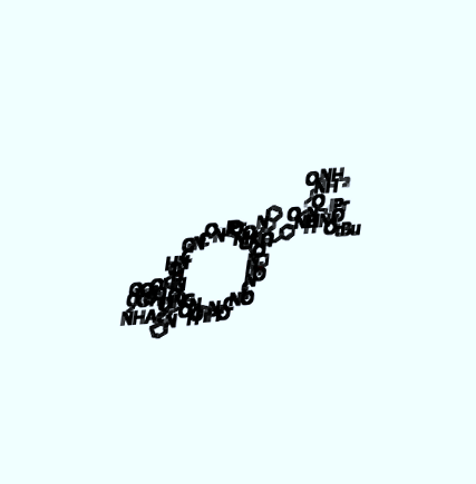 CC(=O)NCCOP(=O)(O)OP(=O)(O)OCOc1cc2ccccc2nc1C(=O)N[C@@H]1CNC(=O)[C@H](C(C)C)N(C)C(=O)CN(C)C(=O)CNC(=O)[C@@H]2CCCCN2C(=O)[C@H](NC(=O)c2nc3ccccc3cc2OCc2ccc(NC(=O)[C@H](CCCNC(N)=O)NC(=O)[C@@H](NC(=O)OC(C)(C)C)C(C)C)cc2)CNC(=O)[C@H](C(C)C)N(C)C(=O)CN(C)C(=O)CNC(=O)[C@@H]2CCCCN2C1=O